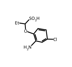 CCC(Oc1ccc(Cl)cc1N)S(=O)(=O)O